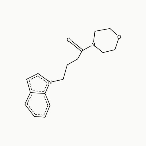 O=C(CCCn1ccc2ccccc21)N1CCOCC1